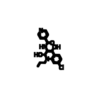 CCCN1c2cc(Cl)ccc2C(O)=C(NC(=O)c2ccncc2)C1O